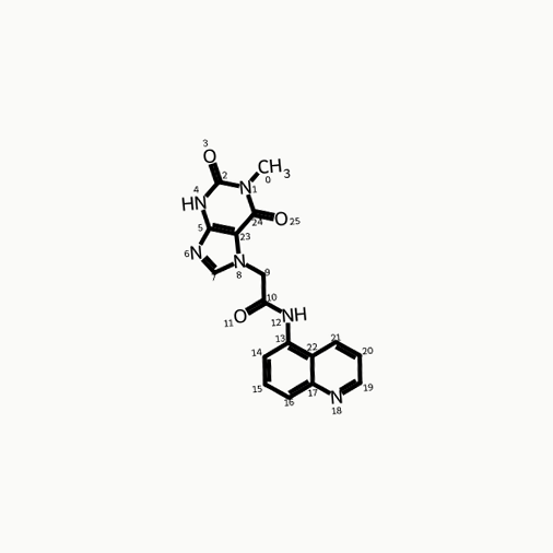 Cn1c(=O)[nH]c2ncn(CC(=O)Nc3cccc4ncccc34)c2c1=O